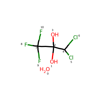 O.OC(O)(C(Cl)Cl)C(F)(F)F